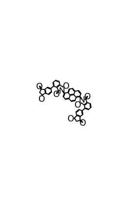 O=C1CC(=O)c2cc(-c3cccc4c3C(=O)N(c3ccc5ccc6c(N7C(=O)c8cccc(-c9ccc%10c(c9)C(=O)CC%10=O)c8C7=O)ccc7ccc3c5c76)C4=O)ccc21